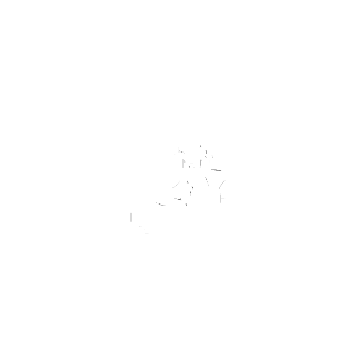 O=C(NCc1cc(C2=CC[C@@H](C(F)(F)F)CC2)ncn1)[C@@H]1C[C@@H](F)CN1S(=O)(=O)c1ccc(F)cc1